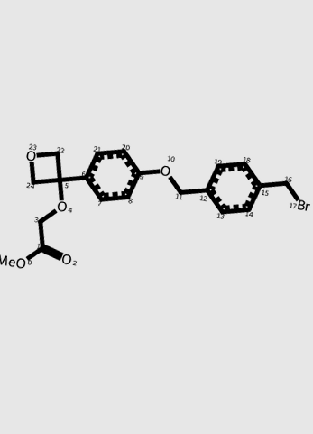 COC(=O)COC1(c2ccc(OCc3ccc(CBr)cc3)cc2)COC1